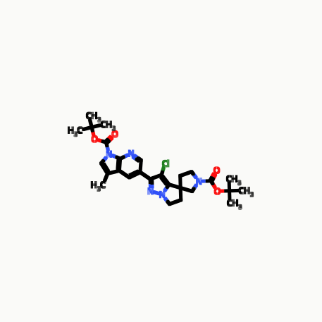 Cc1cn(C(=O)OC(C)(C)C)c2ncc(-c3nn4c(c3Cl)C3(CCN(C(=O)OC(C)(C)C)C3)CC4)cc12